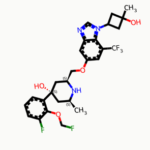 C[C@H]1C[C@@](O)(c2cccc(F)c2OCF)C[C@@H](COc2cc(C(F)(F)F)c3c(c2)ncn3C2CC(C)(O)C2)N1